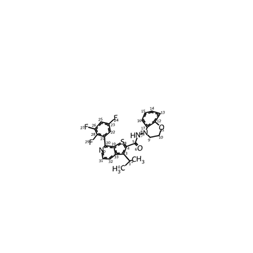 CC(C)c1c(C(=O)NN2CCOc3ccccc32)sc2c(-c3cc(F)cc(F)c3F)nccc12